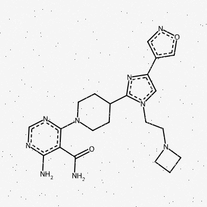 NC(=O)c1c(N)ncnc1N1CCC(c2nc(-c3cnoc3)cn2CCN2CCC2)CC1